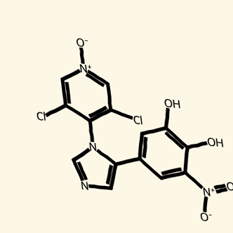 O=[N+]([O-])c1cc(-c2cncn2-c2c(Cl)c[n+]([O-])cc2Cl)cc(O)c1O